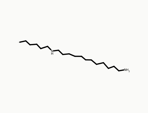 [CH2]CCCCCNCCCCCCCCCCCCN